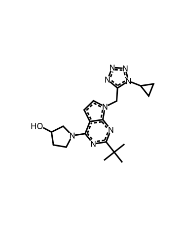 CC(C)(C)c1nc(N2CCC(O)C2)c2ccn(Cc3nnnn3C3CC3)c2n1